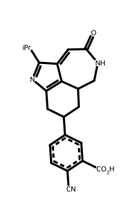 CC(C)C1=NC2=C3C1=CC(=O)NCC3CC(c1ccc(C#N)c(C(=O)O)c1)C2